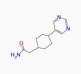 NC(=O)CC1CCC(c2cncnc2)CC1